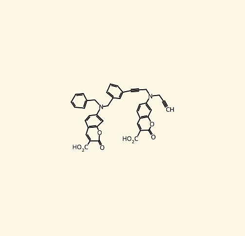 C#CCN(CC#Cc1cccc(CN(Cc2ccccc2)c2ccc3cc(C(=O)O)c(=O)oc3c2)c1)c1ccc2cc(C(=O)O)c(=O)oc2c1